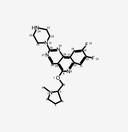 CN1CCCC1COc1nc2cc(F)c(F)cc2c2nc(N3CCNCC3)ncc12